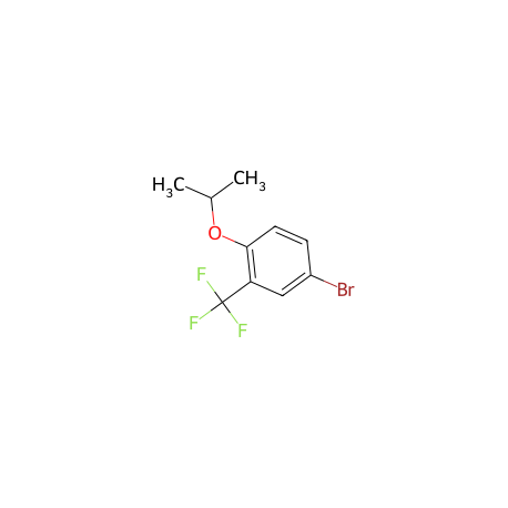 CC(C)Oc1ccc(Br)cc1C(F)(F)F